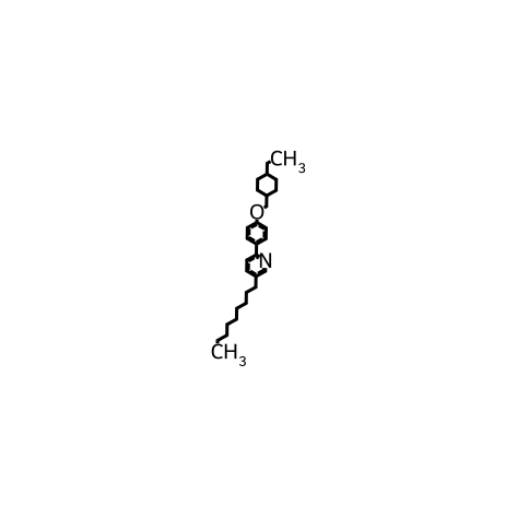 CCCCCCCCCc1ccc(-c2ccc(OCC3CCC(CC)CC3)cc2)nc1